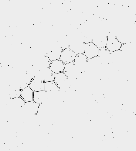 CSc1cc(C)[nH]c(=O)c1CNC(=O)c1cc(Cl)c2c(c1C)O[C@@H]([C@H]1CC[C@@H](N3CCOCC3)CC1)CO2